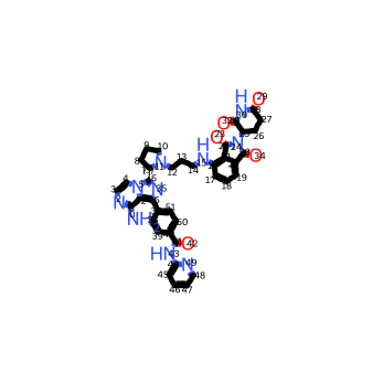 Nc1nccn2c([C@@H]3CCCN3CCCNc3cccc4c3C(=O)N(C3CCC(=O)NC3=O)C4=O)nc(-c3ccc(C(=O)Nc4ccccn4)cc3)c12